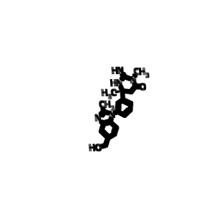 Cc1nc2cc(CO)ccc2n1-c1cccc([C@]2(C)CC(=O)N(C)C(=N)N2)c1